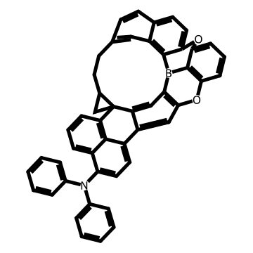 c1ccc(N(c2ccccc2)c2ccc3c4c(cccc24)C24CC2CCc2ccc5ccc6c(c5c2)B2c5cc4c-3cc5Oc3cccc(c32)O6)cc1